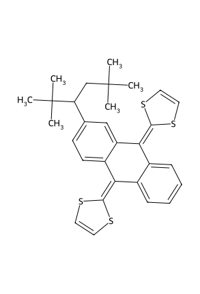 CC(C)(C)CC(c1ccc2c(=C3SC=CS3)c3ccccc3c(=C3SC=CS3)c2c1)C(C)(C)C